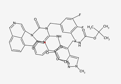 COC(=O)c1ccc(-c2cccc3cncc(-n4c(=O)nc(Nc5c(Cl)cc6nn(C)cc6c5CNC(=O)OC(C)(C)C)n(Cc5cc(F)c(F)c(F)c5)c4=O)c23)cc1